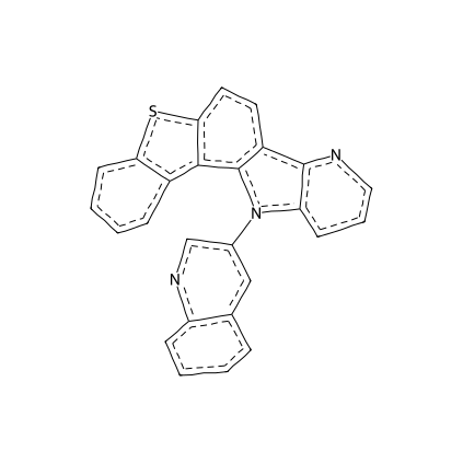 c1ccc2ncc(-n3c4cccnc4c4ccc5sc6ccccc6c5c43)cc2c1